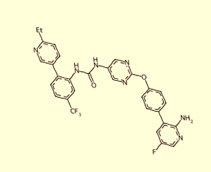 CCc1ccc(-c2ccc(C(F)(F)F)cc2NC(=O)Nc2cnc(Oc3ccc(-c4cc(F)cnc4N)cc3)nc2)cn1